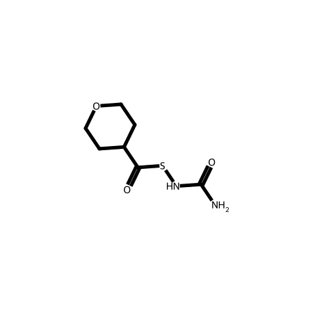 NC(=O)NSC(=O)C1CCOCC1